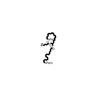 CCCCC/C=C\C/C=C\C/C=C\C/C=C\CCCCC(COC(=O)CCC/C=C\C/C=C\C/C=C\C/C=C\CCCCC)COC(=O)CCCN(C)C